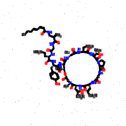 CCC(C)CC/C=C/C=C\C(=O)NC[C@@H](C)C(=O)NCC(=O)N[C@H](CCC(=O)O)C(=O)N[C@@H](Cc1ccc(O)cc1)C(=O)N[C@@H]1C(=O)N[C@H]([C@H](C)CC)C(=O)N[C@@H](CC(=O)O)C(=O)N[C@@H]([C@@H](O)C(=O)O)C(=O)N2CCC[C@H]2C(=O)NCC(=O)N[C@H](CCC(=O)O)C(=O)N[C@@H](C[C@@H](O)C(=O)O)C(=O)N(C)CC(=O)O[C@@H]1C